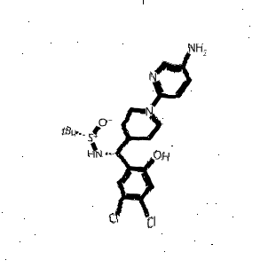 CC(C)(C)[S@+]([O-])N[C@@H](c1cc(Cl)c(Cl)cc1O)C1CCN(c2ccc(N)cn2)CC1